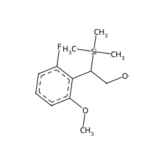 COc1cccc(F)c1C(C[O])[Si](C)(C)C